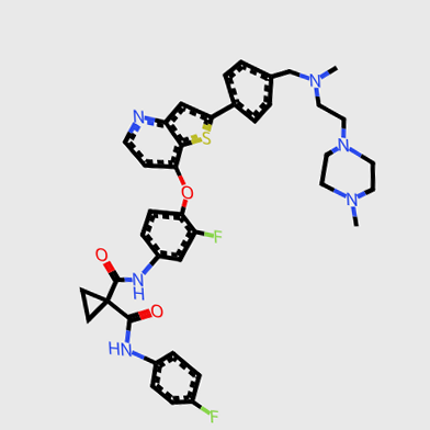 CN1CCN(CCN(C)Cc2ccc(-c3cc4nccc(Oc5ccc(NC(=O)C6(C(=O)Nc7ccc(F)cc7)CC6)cc5F)c4s3)cc2)CC1